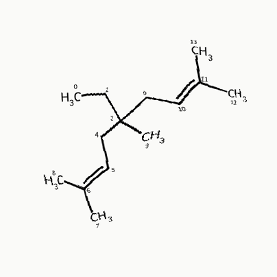 CCC(C)(CC=C(C)C)CC=C(C)C